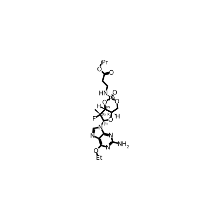 CCOc1nc(N)nc2c1ncn2[C@@H]1O[C@@H]2CO[P@@](=O)(NCCC(=O)OC(C)C)O[C@H]2[C@@]1(C)F